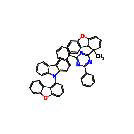 CC1(c2nc(-c3ccccc3)nc(-c3ccccc3)n2)C=CC=C2Oc3ccc(-c4ccc5c(c4)c4ccccc4n5-c4cccc5oc6ccccc6c45)cc3C21